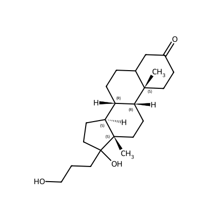 C[C@]12CCC(=O)CC1CC[C@@H]1[C@H]2CC[C@@]2(C)[C@H]1CCC2(O)CCCO